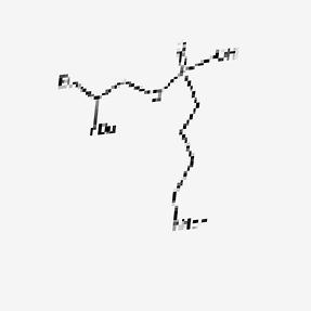 CCCCCCCCCCCCCP(=O)(O)OCC(CC)CCCC